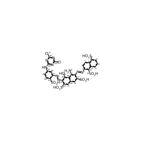 Nc1c(/N=N/c2ccc3c(S(=O)(=O)O)cccc3c2S(=O)(=O)O)c(S(=O)(=O)O)cc2cc(S(=O)(=O)O)c(/N=N/c3cc(Nc4nc(Cl)nc(Cl)n4)ccc3S(=O)(=O)O)c(O)c12